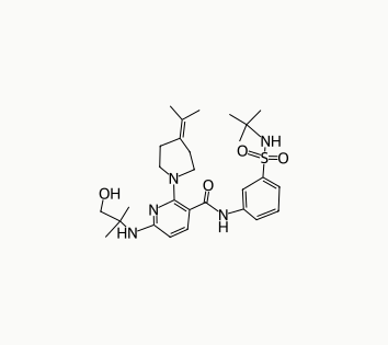 CC(C)=C1CCN(c2nc(NC(C)(C)CO)ccc2C(=O)Nc2cccc(S(=O)(=O)NC(C)(C)C)c2)CC1